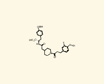 CCOc1ccc(CCC(=O)N2CCC(CC(=O)N[C@@H](Cc3ccc(OC)cc3)C(=O)O)CC2)cc1F